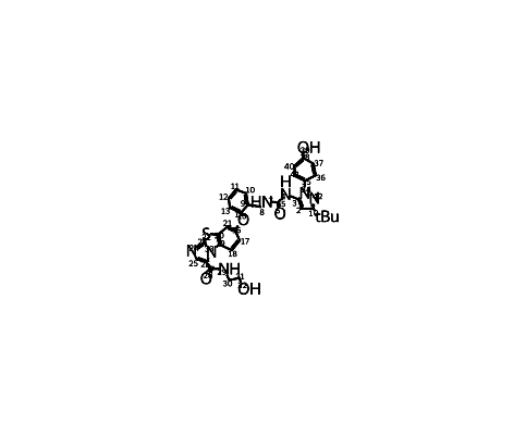 CC(C)(C)c1cc(NC(=O)NCc2ccccc2Oc2ccc3c(c2)sc2ncc(C(=O)NCCO)n23)n(-c2ccc(O)cc2)n1